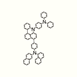 c1ccc(N(c2ccccc2)c2ccc(N3c4ccccc4-c4cccc5c(-c6ccc(N(c7ccc8ccccc8c7)c7cccc8ccccc78)cc6)ccc3c45)cc2)cc1